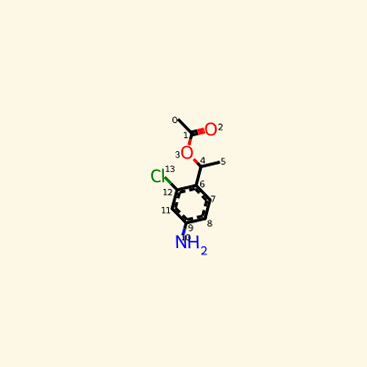 CC(=O)OC(C)c1ccc(N)cc1Cl